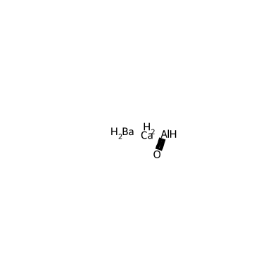 [BaH2].[CaH2].[O]=[AlH]